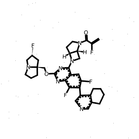 C=C(F)C(=O)N1CC[C@@H]2[C@H]1CN2c1nc(OC[C@@]23CCCN2C[C@H](F)C3)nc2c(F)c(-c3cncc4c3CCCC4)c(F)cc12